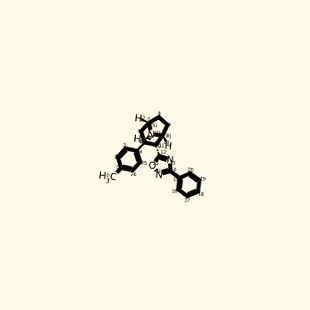 Cc1ccc([C@H]2C[C@@H]3CC[C@H]([C@@H]2c2nc(-c4ccccc4)no2)N3C)cc1